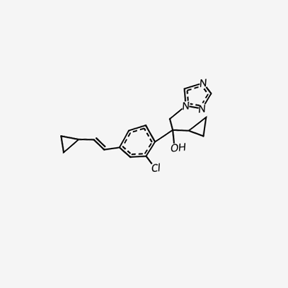 OC(Cn1cncn1)(c1ccc(C=CC2CC2)cc1Cl)C1CC1